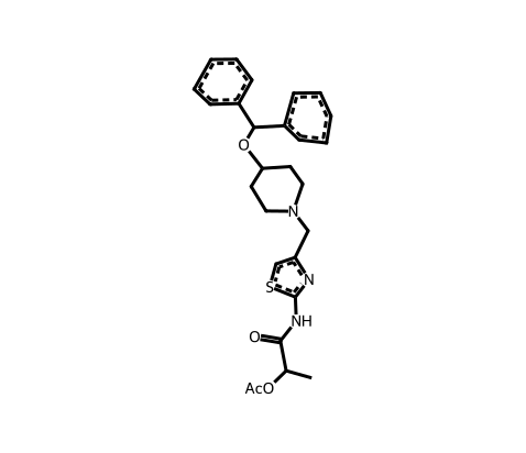 CC(=O)OC(C)C(=O)Nc1nc(CN2CCC(OC(c3ccccc3)c3ccccc3)CC2)cs1